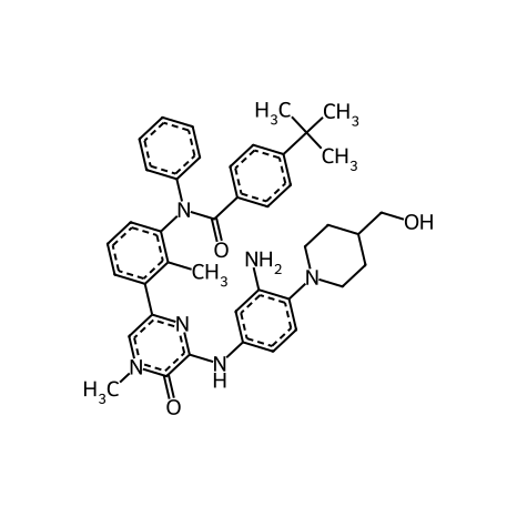 Cc1c(-c2cn(C)c(=O)c(Nc3ccc(N4CCC(CO)CC4)c(N)c3)n2)cccc1N(C(=O)c1ccc(C(C)(C)C)cc1)c1ccccc1